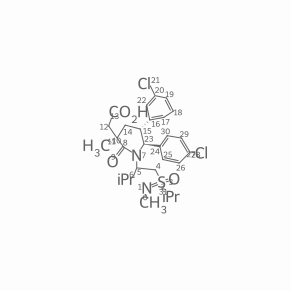 CN=S(=O)(CC(C(C)C)N1C(=O)[C@@](C)(CC(=O)O)C[C@H](c2cccc(Cl)c2)[C@H]1c1ccc(Cl)cc1)C(C)C